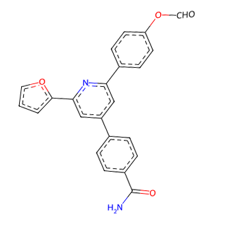 NC(=O)c1ccc(-c2cc(-c3ccc(OC=O)cc3)nc(-c3ccco3)c2)cc1